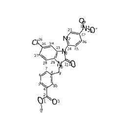 COC(=O)c1cccc(Cn2c(=O)n(-c3ccc([N+](=O)[O-])cn3)c3cc(Cl)ccc32)c1